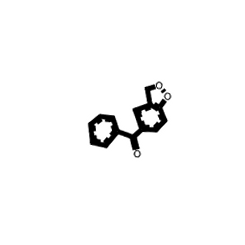 O=C(c1ccccc1)c1ccc2c(c1)COO2